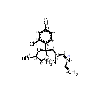 C=C/N=C\N(N)CC1(c2ccc(Cl)cc2Cl)OCC(CCC)O1